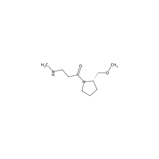 CNCCC(=O)N1CCC[C@H]1COC